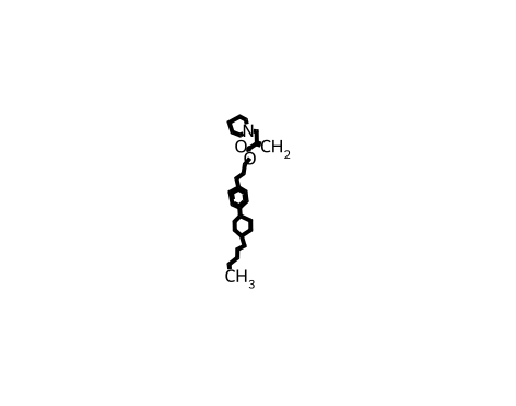 C=C(CN1CCCCC1)C(=O)OCCCc1ccc(C2CCC(CCCCC)CC2)cc1